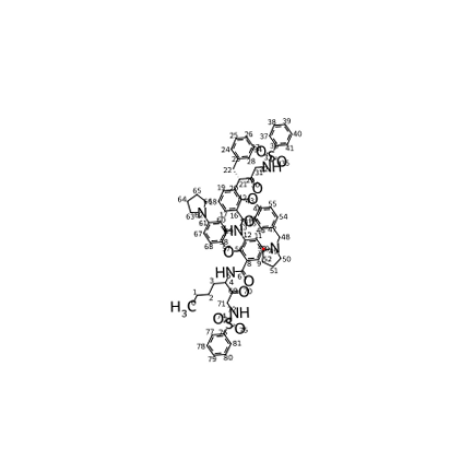 CCCCC(NC(=O)c1cccc(NC(=O)c2cccc([C@H](Cc3ccccc3)C(=O)CNS(=O)(=O)c3ccccc3)c2Oc2ccc(CN3CCCC3)cc2)c1Oc1ccc(N2CCCC2)cc1)C(=O)CNS(=O)(=O)c1ccccc1